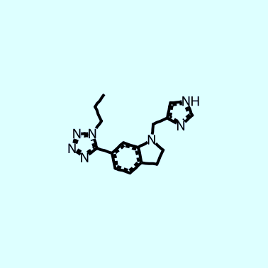 CCCn1nnnc1-c1ccc2c(c1)N(Cc1c[nH]cn1)CC2